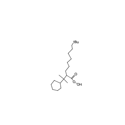 CC(C)(C)CCCCCCCC(C(=O)OO)C(C)(C)C1CCCCC1